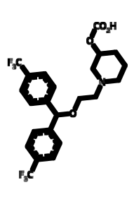 O=C(O)OC1CCCN(CCOC(c2ccc(C(F)(F)F)cc2)c2ccc(C(F)(F)F)cc2)C1